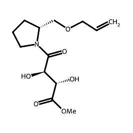 C=CCOC[C@H]1CCCN1C(=O)[C@H](O)[C@H](O)C(=O)OC